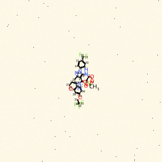 CS(=O)(=O)CC(=O)Nc1c2c(nn1-c1ccc(C(F)F)cc1)C[C@]1(CCOc3cc(OCC(F)(F)F)ccc31)NC2=O